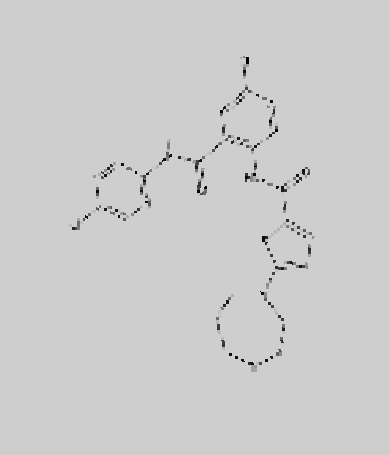 CN1CCCN(c2ccc(C(=O)Nc3ccc(Cl)cc3C(=O)Nc3ccc(Cl)cn3)s2)CC1